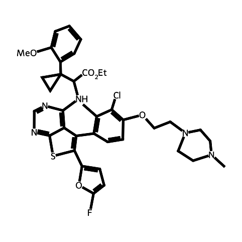 CCOC(=O)C(Nc1ncnc2sc(-c3ccc(F)o3)c(-c3ccc(OCCN4CCN(C)CC4)c(Cl)c3C)c12)C1(c2ccccc2OC)CC1